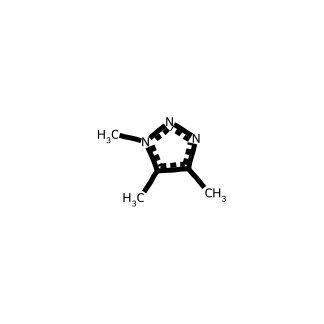 Cc1nnn(C)c1C